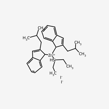 CC[SiH](CC)[Zr+2]([CH]1C(CC(C)C)=Cc2ccccc21)[CH]1C(CC(C)C)=Cc2ccccc21.[I-].[I-]